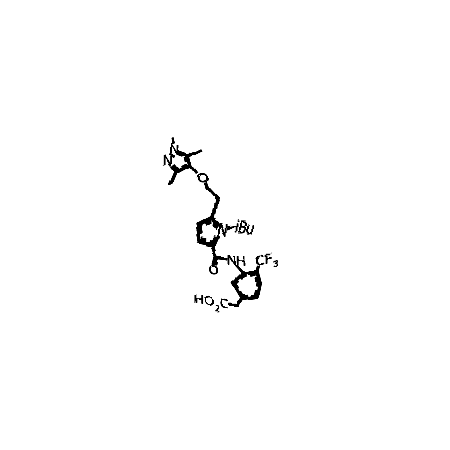 CC[C@H](C)n1c(CCOc2c(C)nn(C)c2C)ccc1C(=O)Nc1cc(CC(=O)O)ccc1C(F)(F)F